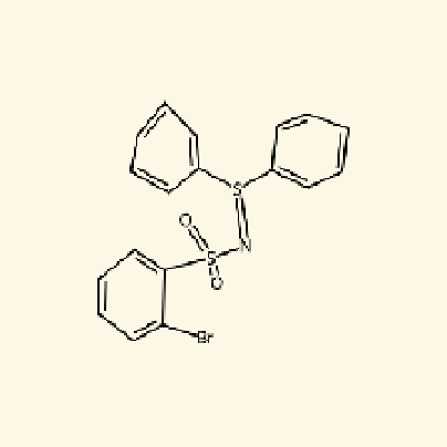 O=S(=O)(N=S(c1ccccc1)c1ccccc1)c1ccccc1Br